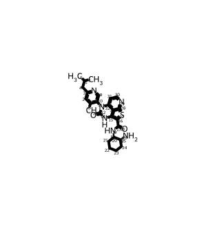 Cc1cc(CC(C)C)ncc1N1C(=O)Nc2c(C(=O)N[C@@H]3CCCC[C@@H]3N)sc3nccc1c23